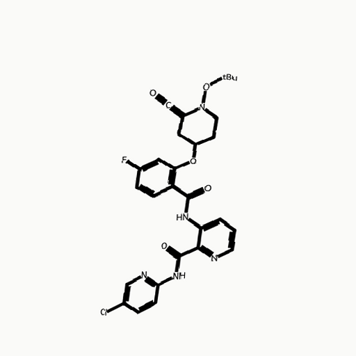 CC(C)(C)ON1CCC(Oc2cc(F)ccc2C(=O)Nc2cccnc2C(=O)Nc2ccc(Cl)cn2)CC1=C=O